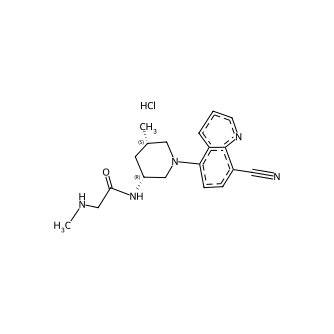 CNCC(=O)N[C@@H]1C[C@H](C)CN(c2ccc(C#N)c3ncccc23)C1.Cl